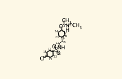 CCNC(C)Oc1ccc(CCNS(=O)(=O)c2ccc(Cl)cc2)cc1